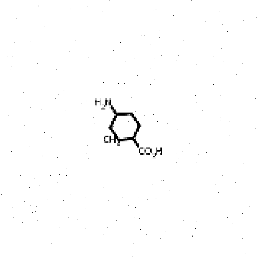 C.NC1CCC(C(=O)O)CC1